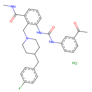 CNC(=O)c1cccc(NC(=O)Nc2cccc(C(C)=O)c2)c1CN1CCC(Cc2ccc(F)cc2)CC1.Cl